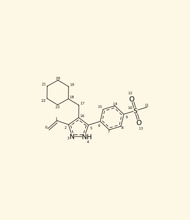 C=Cc1n[nH]c(-c2ccc(S(C)(=O)=O)cc2)c1CC1CCCCC1